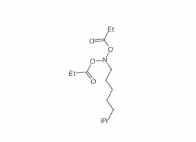 CCC(=O)ON(CCCCCC(C)C)OC(=O)CC